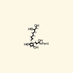 CCCCCC(O)C=C[C@@H]1[C@@H](CC=CCCCC(O)CO)[C@@H](O)C[C@H]1O